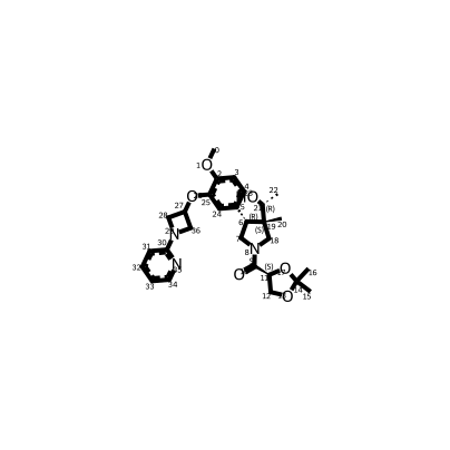 COc1ccc([C@H]2CN(C(=O)[C@@H]3COC(C)(C)O3)C[C@@]2(C)[C@@H](C)O)cc1OC1CN(c2ccccn2)C1